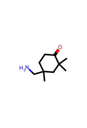 CC1(CN)CCC(=O)C(C)(C)C1